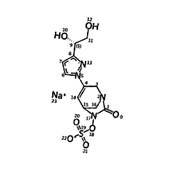 O=C1N2CC(n3ccc([C@H](O)CO)n3)=CC(C2)N1OS(=O)(=O)[O-].[Na+]